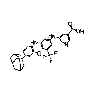 O=C(O)c1cncc(Nc2cc(Nc3ccc(C45CC6CC(CC(C6)C4)C5)cc3Cl)cc(C(F)(F)F)c2)c1